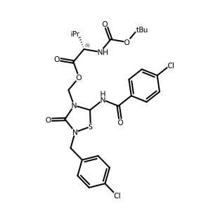 CC(C)[C@H](NC(=O)OC(C)(C)C)C(=O)OCN1C(=O)N(Cc2ccc(Cl)cc2)SC1NC(=O)c1ccc(Cl)cc1